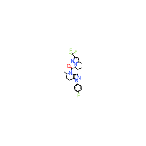 CCC(C(=O)N1c2cnn(-c3ccc(F)cc3)c2CCC1C)n1nc(C(F)(F)F)cc1C